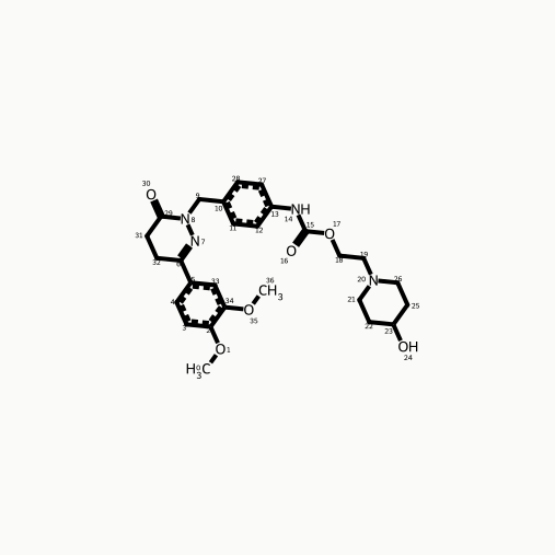 COc1ccc(C2=NN(Cc3ccc(NC(=O)OCCN4CCC(O)CC4)cc3)C(=O)CC2)cc1OC